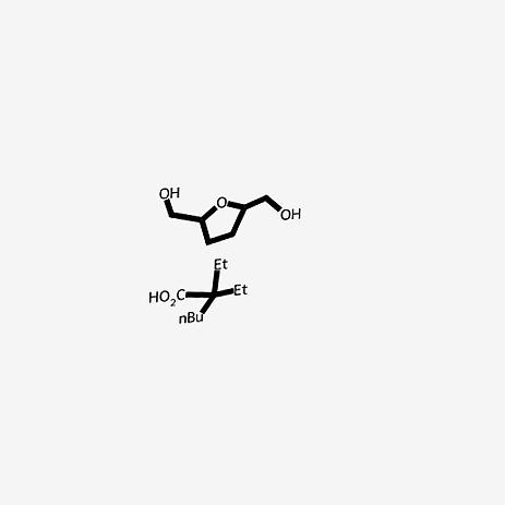 CCCCC(CC)(CC)C(=O)O.OCC1CCC(CO)O1